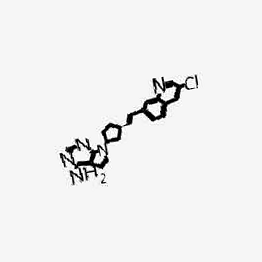 Nc1ncnc2c1ccn2[C@H]1CC[C@@H](/C=C/c2ccc3cc(Cl)cnc3c2)C1